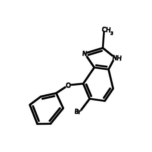 Cc1nc2c(Oc3ccccc3)c(Br)ccc2[nH]1